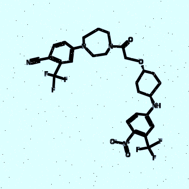 N#Cc1ccc(N2CCCN(C(=O)CO[C@H]3CC[C@H](Nc4ccc([N+](=O)[O-])c(C(F)(F)F)c4)CC3)CC2)cc1C(F)(F)F